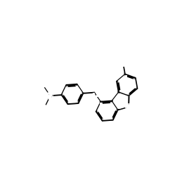 CN(C)c1ccc(Cc2[c]ccc3oc4ccc(F)cc4c23)cc1